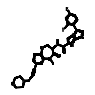 CN1C(=O)C(NC(=O)c2cn3c(-c4ccc(F)cc4F)csc3n2)COc2ccc(C#CCN3CCOCC3)cc21